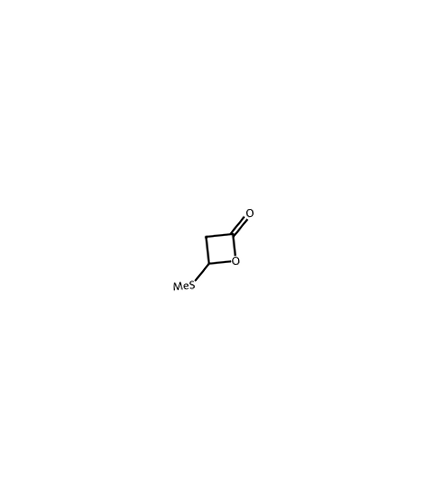 CSC1CC(=O)O1